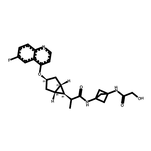 CC(C(=O)NC12CC(NC(=O)CO)(C1)C2)[C@H]1[C@@H]2C[C@@H](Oc3ccnc4ccc(F)cc34)C[C@@H]21